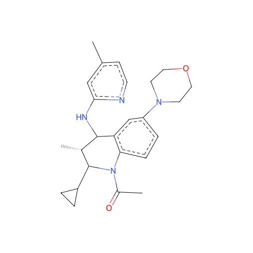 CC(=O)N1c2ccc(N3CCOCC3)cc2C(Nc2cc(C)ccn2)[C@@H](C)C1C1CC1